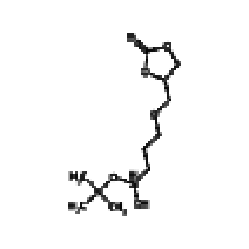 C[Si](C)(C)O[SiH](O)CCCOCC1COC(=O)O1